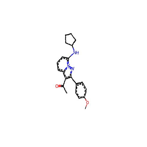 COc1ccc(-c2nn3c(NC4CCCC4)cccc3c2C(C)=O)cc1